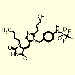 CCCCc1ncc(C=C2C(=O)NC(=O)N2CCCC)n1Cc1ccc(NS(=O)(=O)C(F)(F)F)cc1